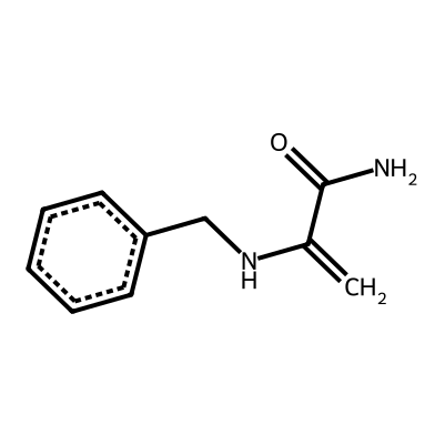 C=C(NCc1ccccc1)C(N)=O